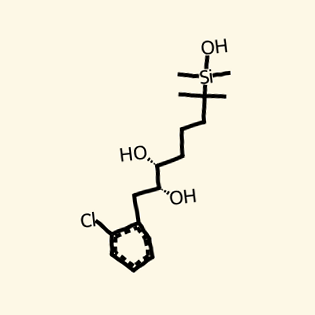 CC(C)(CCC[C@@H](O)[C@H](O)Cc1ccccc1Cl)[Si](C)(C)O